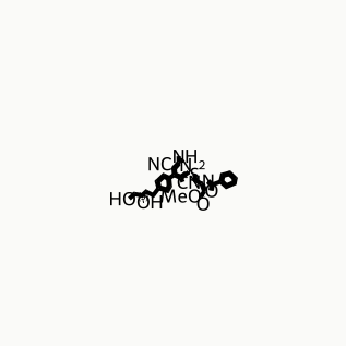 COC(=O)c1oc(-c2ccccc2)nc1CSc1nc(N)c(C#N)c(-c2ccc(CC[C@H](O)CO)cc2)c1C#N